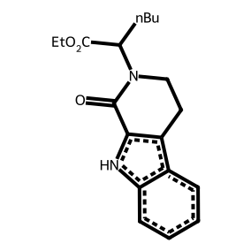 CCCCC(C(=O)OCC)N1CCc2c([nH]c3ccccc23)C1=O